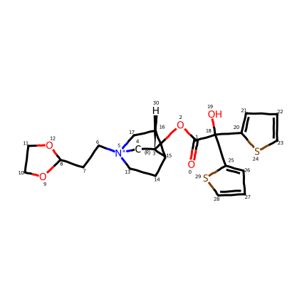 O=C(O[C@H]1C[N+]2(CCC3OCCO3)CCC1CC2)C(O)(c1cccs1)c1cccs1